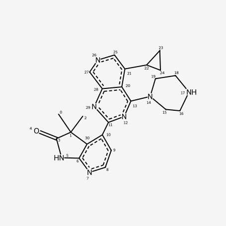 CC1(C)C(=O)Nc2nccc(-c3nc(N4CCNCC4)c4c(C5CC5)cncc4n3)c21